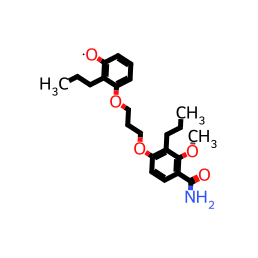 CCCc1c([O])cccc1OCCCOc1ccc(C(N)=O)c(OC)c1CCC